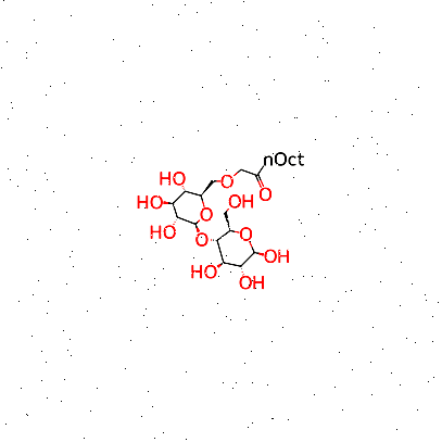 CCCCCCCCC(=O)COC[C@H]1O[C@@H](O[C@H]2[C@H](O)[C@@H](O)[C@H](O)O[C@@H]2CO)[C@H](O)[C@@H](O)[C@@H]1O